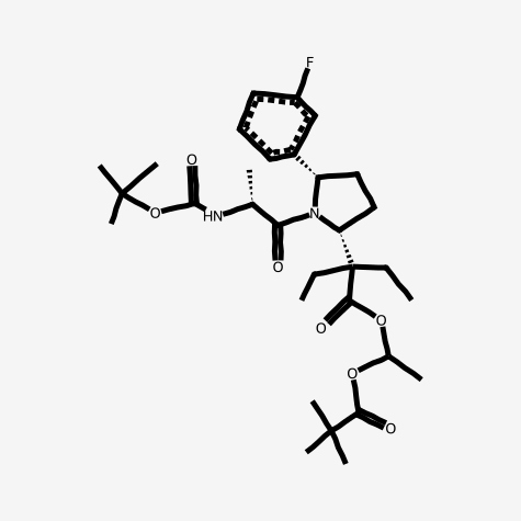 CCC(CC)(C(=O)OC(C)OC(=O)C(C)(C)C)[C@H]1CC[C@@H](c2cccc(F)c2)N1C(=O)[C@@H](C)NC(=O)OC(C)(C)C